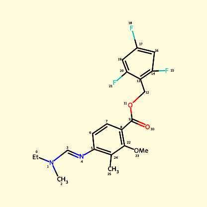 CCN(C)/C=N/c1ccc(C(=O)OCc2c(F)cc(F)cc2F)c(OC)c1C